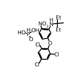 CCC(C)(CC)Nc1cc(Oc2c(Cl)cc(Cl)cc2Cl)ccc1[N+](=O)[O-].O=[PH](O)O